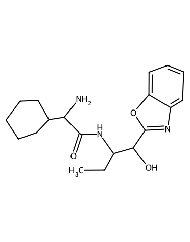 CCC(NC(=O)C(N)C1CCCCC1)C(O)c1nc2ccccc2o1